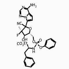 CCOC(=O)[C@H](Cc1ccccc1)NP(=O)(OC[C@H]1OC(C#N)(c2ccc3c(N)ncnn23)[C@](C)(F)[C@@H]1O)Oc1ccccc1